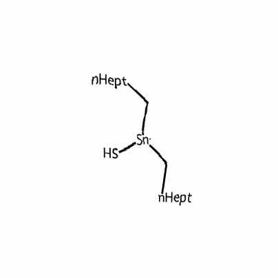 CCCCCCC[CH2][Sn]([SH])[CH2]CCCCCCC